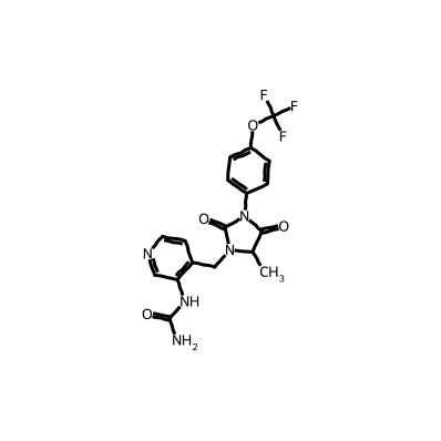 CC1C(=O)N(c2ccc(OC(F)(F)F)cc2)C(=O)N1Cc1ccncc1NC(N)=O